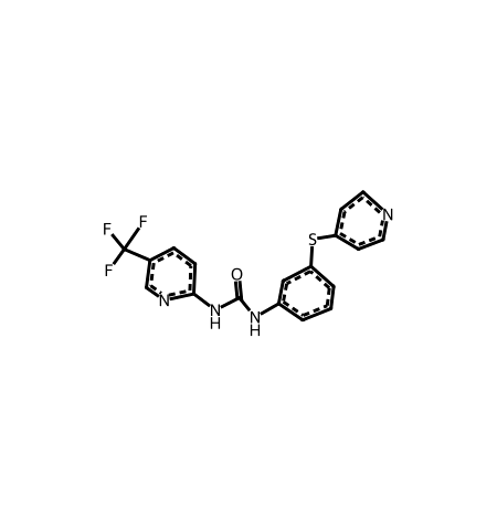 O=C(Nc1cccc(Sc2ccncc2)c1)Nc1ccc(C(F)(F)F)cn1